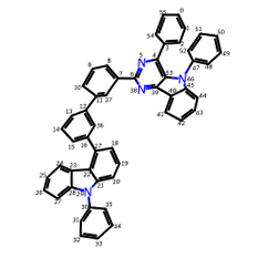 c1ccc(-c2nc(-c3cccc(-c4cccc(-c5cccc6c5c5ccccc5n6-c5ccccc5)c4)c3)nc3c4ccccc4n(-c4ccccc4)c23)cc1